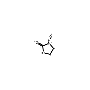 O=C1OCC[NH+]1[O-]